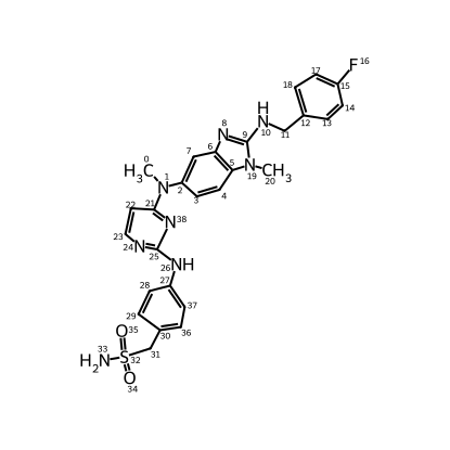 CN(c1ccc2c(c1)nc(NCc1ccc(F)cc1)n2C)c1ccnc(Nc2ccc(CS(N)(=O)=O)cc2)n1